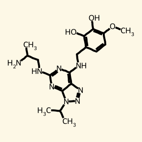 COc1ccc(CNc2nc(NCC(C)N)nc3c2nnn3C(C)C)c(O)c1O